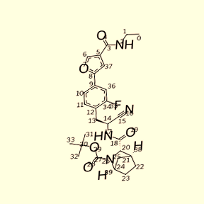 CCNC(=O)c1coc(-c2ccc(C[C@@H](C#N)NC(=O)[C@@H]3[C@H]4CC[C@H](C4)N3C(=O)OC(C)(C)C)c(F)c2)c1